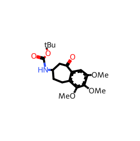 COc1cc2c(c(OC)c1OC)CCC(NC(=O)OC(C)(C)C)CC2=O